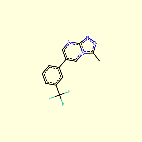 Cc1nnc2ncc(-c3cccc(C(F)(F)F)c3)cn12